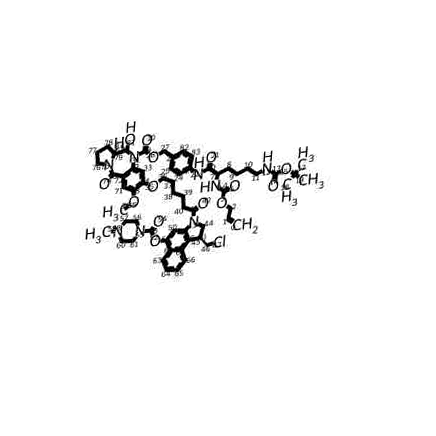 C=CCOC(=O)NC(CCCCNC(=O)OC(C)(C)C)C(=O)Nc1ccc(COC(=O)N2c3cc(OCCCCCC(=O)N4C[C@@H](CCl)c5c4cc(OC(=O)N4CCN(C)CC4)c4ccccc54)c(OC)cc3C(=O)N3CCC[C@H]3C2O)cc1